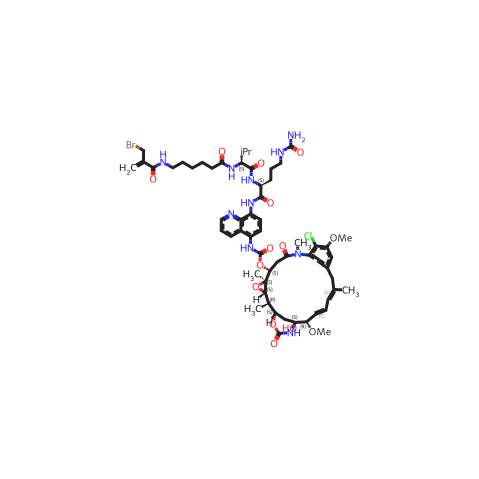 C=C(CBr)C(=O)NCCCCCC(=O)N[C@H](C(=O)N[C@@H](CCCNC(N)=O)C(=O)Nc1ccc(NC(=O)O[C@H]2CC(=O)N(C)c3cc(cc(OC)c3Cl)C/C(C)=C/C=C/[C@@H](OC)[C@@]3(O)C[C@H](OC(=O)N3)[C@@H](C)[C@@H]3O[C@@]23C)c2cccnc12)C(C)C